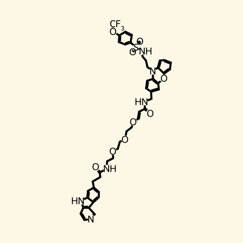 O=C(C=COCCOCCOCCNC(=O)CCc1ccc2c(c1)[nH]c1ccncc12)NCc1ccc2c(c1)Oc1ccccc1N2CCCNS(=O)(=O)c1ccc(OC(F)(F)F)cc1